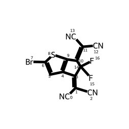 N#CC(C#N)=C1c2cc(Br)sc2C(=C(C#N)C#N)C1(F)F